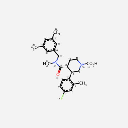 Cc1cc(F)ccc1[C@@H]1CN(C(=O)O)CC[C@H]1C(=O)N(C)Cc1cc(C(F)(F)F)cc(C(F)(F)F)c1